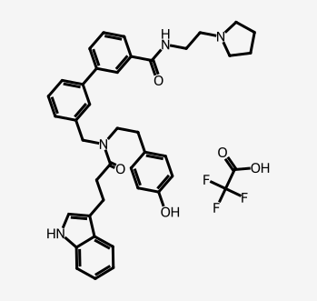 O=C(NCCN1CCCC1)c1cccc(-c2cccc(CN(CCc3ccc(O)cc3)C(=O)CCc3c[nH]c4ccccc34)c2)c1.O=C(O)C(F)(F)F